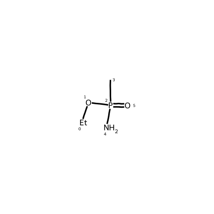 CCOP(C)(N)=O